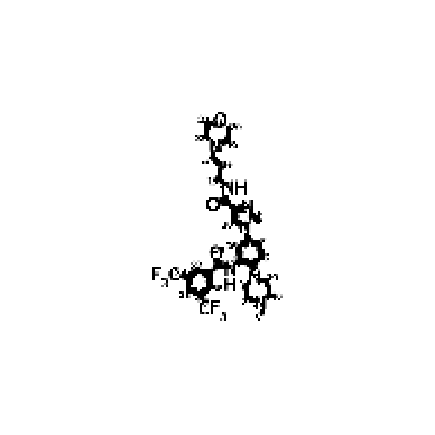 CN1CCN(c2ccc(-n3cc(C(=O)NCCCN4CCOCC4)nn3)cc2NC(=O)c2cc(C(F)(F)F)cc(C(F)(F)F)c2)CC1